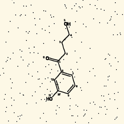 O=C(CCCO)c1cccc(O)c1